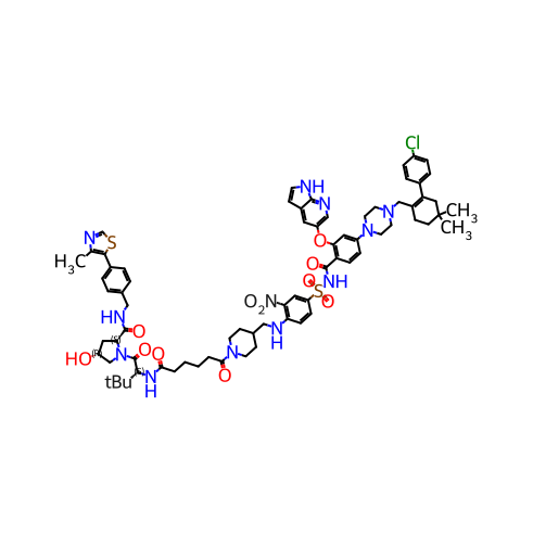 Cc1ncsc1-c1ccc(CNC(=O)[C@@H]2C[C@@H](O)CN2C(=O)[C@@H](NC(=O)CCCCC(=O)N2CCC(CNc3ccc(S(=O)(=O)NC(=O)c4ccc(N5CCN(CC6=C(c7ccc(Cl)cc7)CC(C)(C)CC6)CC5)cc4Oc4cnc5[nH]ccc5c4)cc3[N+](=O)[O-])CC2)C(C)(C)C)cc1